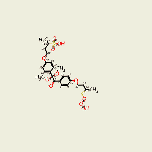 COC(OC)(C(=O)c1ccc(OCCC(C)SOOO)cc1)c1ccc(OCCC(C)S(=O)(=O)O)cc1